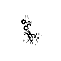 Cc1ccccc1-n1cnnc1-c1cccc(N2Cc3c(cc(N(C)C(C)C)nc3CN(C)C(=O)O)C2=O)n1